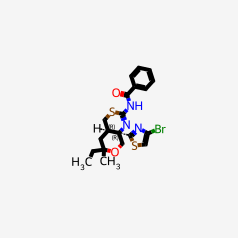 CCC1(C)C[C@H]2CSC(NC(=O)c3ccccc3)=N[C@@]2(c2nc(Br)cs2)CO1